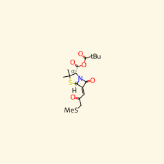 CSCC(=O)C=C1C(=O)N2[C@@H]1SC(C)(C)[C@@H]2C(=O)OC(=O)C(C)(C)C